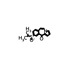 CC(C)[S+]([O-])c1ccc2ccn3cccc3c(=O)c2c1